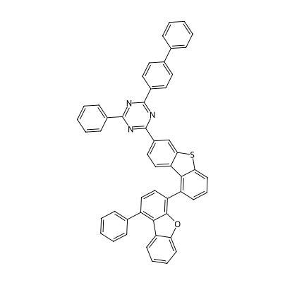 c1ccc(-c2ccc(-c3nc(-c4ccccc4)nc(-c4ccc5c(c4)sc4cccc(-c6ccc(-c7ccccc7)c7c6oc6ccccc67)c45)n3)cc2)cc1